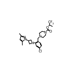 Cc1cc(C)n(C2CN(c3cc(Cl)ccc3CN3CCN(C(=O)OC(C)C(F)(F)F)CC3)C2)n1